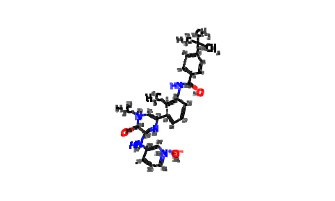 Cc1c(NC(=O)c2ccc(C(C)(C)C)cc2)cccc1-c1cn(C)c(=O)c(Nc2ccc[n+]([O-])c2)n1